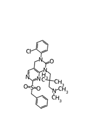 CN(C)CC(C)(C)CN1C(=O)N(c2ccccc2Cl)Cc2cnc(S(=O)(=O)Cc3ccccc3)nc21